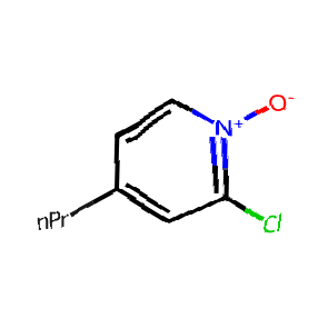 CCCc1cc[n+]([O-])c(Cl)c1